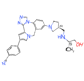 C[C@@H](CO)NC[C@@H]1CCN(c2ccc3c(c2)Cn2cc(-c4ccc(C#N)cc4)cc2-c2nncn2-3)C1